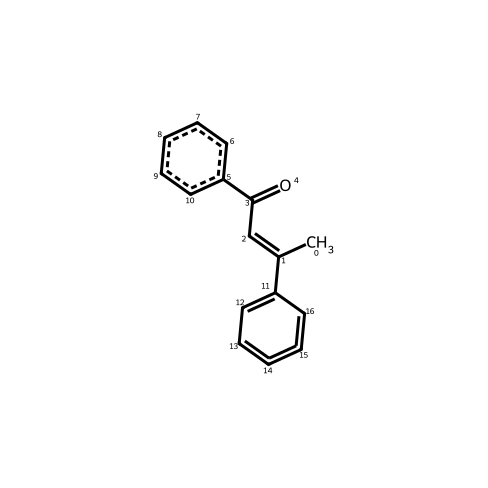 C/C(=C\C(=O)c1ccccc1)C1=CC=C=C=C1